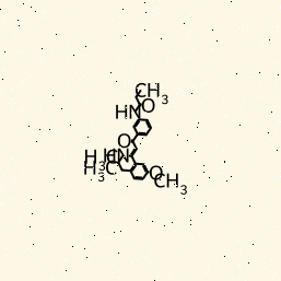 CCC(=O)Nc1cccc(C(=O)C=C2NC(C)(C)Cc3ccc(OC)cc32)c1